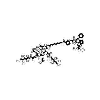 CSSC[C@H](NC(=O)[C@H](CCC(=O)NC[C@@H](O)[C@H](O)[C@@H](O)[C@@H](O)CO)NC(=O)[C@H](CCC(=O)O)NC(=O)[C@H](CCC(=O)NC[C@@H](O)[C@H](O)[C@@H](O)[C@@H](O)CO)NC(=O)[C@H](CCC(=O)O)NC(=O)CCCCCCCNC(=O)c1cccc(NC(=O)N[C@@H]2CN(C3CCCCC3)c3ccccc3N(CC(=O)C(C)(C)C)C2=O)c1)C(=O)O